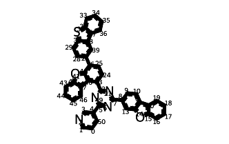 c1cncc(-c2nc(-c3ccc4c(c3)oc3ccccc34)nc(-c3ccc(-c4ccc5sc6ccccc6c5c4)c4oc5ccccc5c34)n2)c1